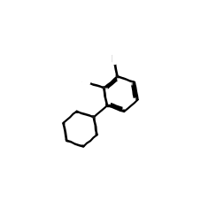 Fc1cccc(C2CCCCC2)c1Br